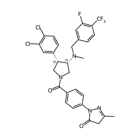 CC1=NN(c2ccc(C(=O)N3C[C@H](c4ccc(Cl)c(Cl)c4)[C@H](N(C)Cc4ccc(C(F)(F)F)c(F)c4)C3)cc2)C(=O)C1